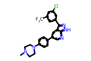 CN1CCN(c2ccc(-c3cnc4[nH]nc(-c5cc(Cl)cc(C(F)(F)F)c5)c4c3)cc2)CC1